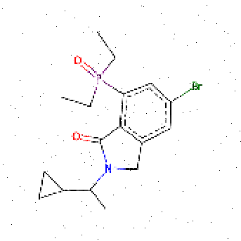 CCP(=O)(CC)c1cc(Br)cc2c1C(=O)N(C(C)C1CC1)C2